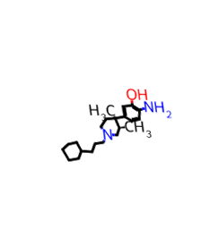 C[C@H]1CN(CCCC2CCCCC2)CC[C@]1(C)c1ccc(N)c(O)c1